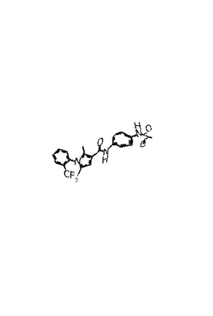 Cc1cc(C(=O)Nc2ccc(NS(C)(=O)=O)cc2)c(C)n1-c1ccccc1C(F)(F)F